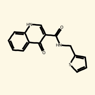 O=C(NCc1cccs1)c1c[nH]c2ccccc2c1=O